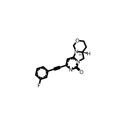 O=c1nc(C#Cc2cccc(F)c2)cc2n1C[C@H]1CCOCN21